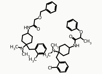 CC(Oc1ccccc1)C(=O)NC1CCC(Cc2ccccc2Cl)(N(C)C)CC1.Cc1ccccc1CC1(N(C)C)CCC(NC(=O)COCc2ccccc2)CC1